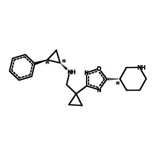 c1ccc([C@H]2C[C@@H]2NCC2(c3noc([C@H]4CCCNC4)n3)CC2)cc1